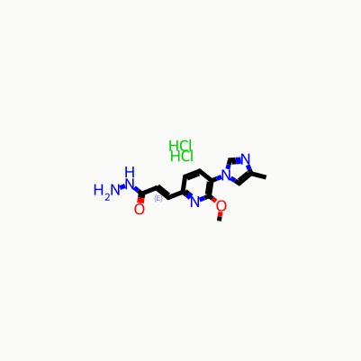 COc1nc(/C=C/C(=O)NN)ccc1-n1cnc(C)c1.Cl.Cl